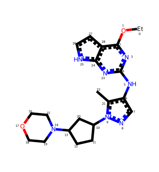 CCOc1nc(Nc2cnn(C3CCC(N4CCOCC4)C3)c2C)nc2[nH]ccc12